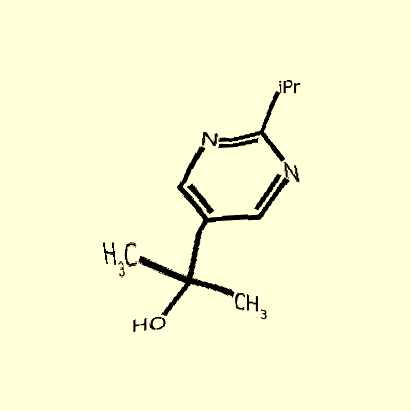 CC(C)c1ncc(C(C)(C)O)cn1